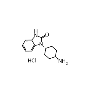 Cl.N[C@H]1CC[C@H](n2c(=O)[nH]c3ccccc32)CC1